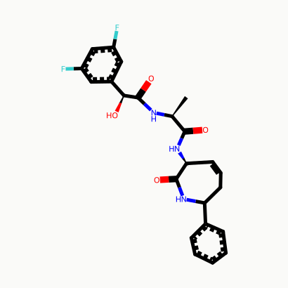 C[C@H](NC(=O)[C@@H](O)c1cc(F)cc(F)c1)C(=O)N[C@H]1C=CCC(c2ccccc2)NC1=O